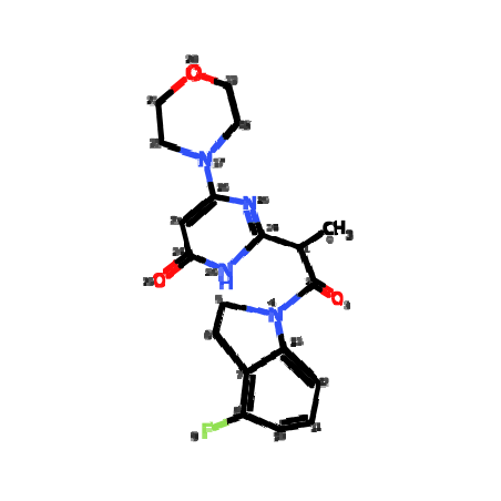 CC(C(=O)N1CCc2c(F)cccc21)c1nc(N2CCOCC2)cc(=O)[nH]1